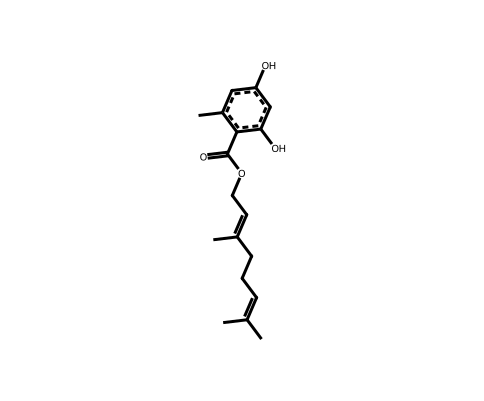 CC(C)=CCC/C(C)=C/COC(=O)c1c(C)cc(O)cc1O